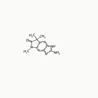 CN1C(=O)C(C)(C)c2cc3[nH]c(N)nc3cc21